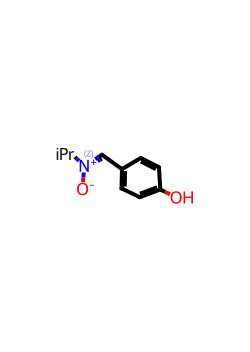 CC(C)/[N+]([O-])=C/c1ccc(O)cc1